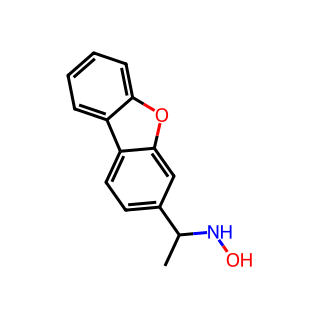 CC(NO)c1ccc2c(c1)oc1ccccc12